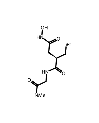 CNC(=O)CNC(=O)[C@@H](CC(=O)NO)CC(C)C